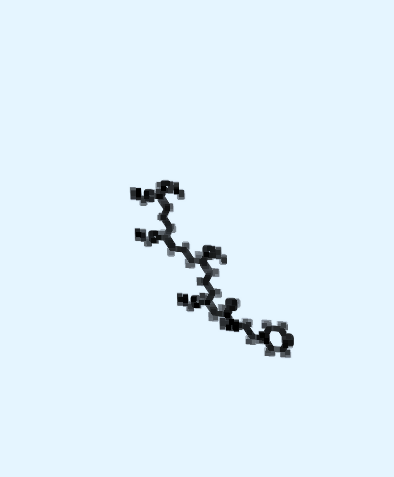 CC(C)=CCCC(C)=CCCC(C)=CCCC(C)=CC(=O)NCCN1CCOCC1